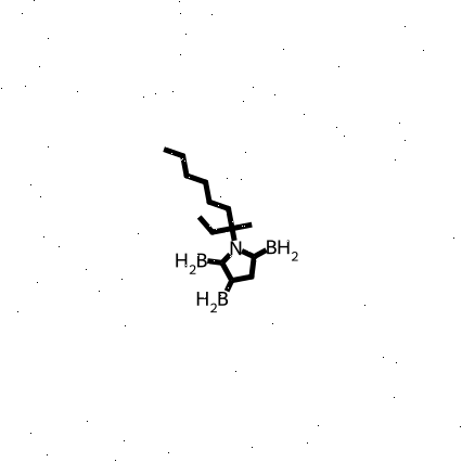 BC1CC(B)N(C(C)(CC)CCCCCC)C1B